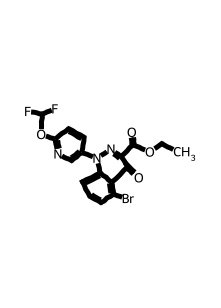 CCOC(=O)c1nn(-c2ccc(OC(F)F)nc2)c2cccc(Br)c2c1=O